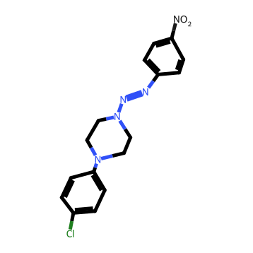 O=[N+]([O-])c1ccc(N=NN2CCN(c3ccc(Cl)cc3)CC2)cc1